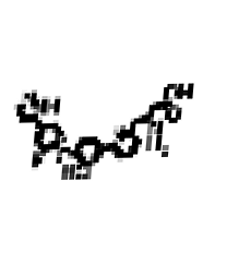 Cl.NC(CC(=O)O)Cc1cccc(-c2ccc(Oc3ncc(-c4ccn[nH]4)cc3F)cc2)n1